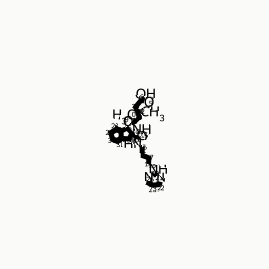 CC(C)(CC(=O)O)CC(=O)NC1(C(=O)NCCCCNc2ncccn2)Cc2ccccc2C1